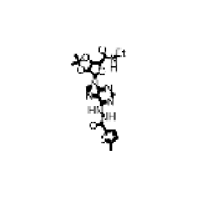 CCNC(=O)C1OC(n2cnc3c(NNC(=O)c4ccc(C)s4)ncnc32)C2OC(C)(C)OC12